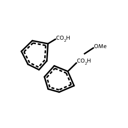 COC.O=C(O)c1ccccc1.O=C(O)c1ccccc1